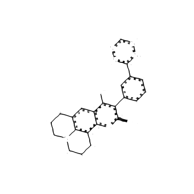 Cc1c(-c2cccc(-c3nncnn3)c2)c(=O)oc2c3c4c(cc12)CCCN4CCC3